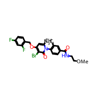 COCCNC(=O)c1ccc(-n2c(C)cc(OCc3ccc(F)cc3F)c(Br)c2=O)c(C)c1